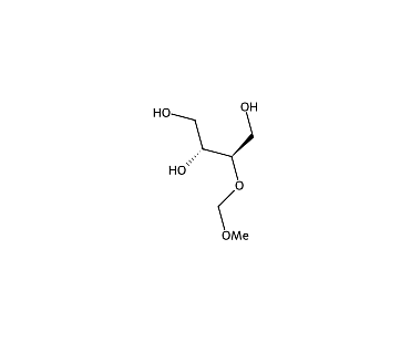 COCO[C@H](CO)[C@H](O)CO